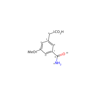 COc1cc(CC(=O)O)cc(C(N)=O)c1